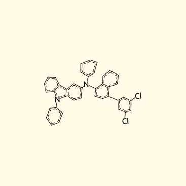 Clc1cc(Cl)cc(-c2ccc(N(c3ccccc3)c3ccc4c(c3)c3ccccc3n4-c3ccccc3)c3ccccc23)c1